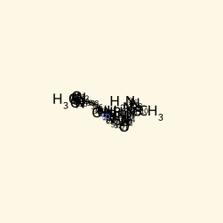 CCCCc1nc2c(N)nc3cc(C)sc3c2n1CC1CCN(C(=O)C2CCC(CN(N)/C=C(\N)CNC(=O)CCCC#Cc3cnc(S(C)(=O)=O)nc3)CC2)CC1